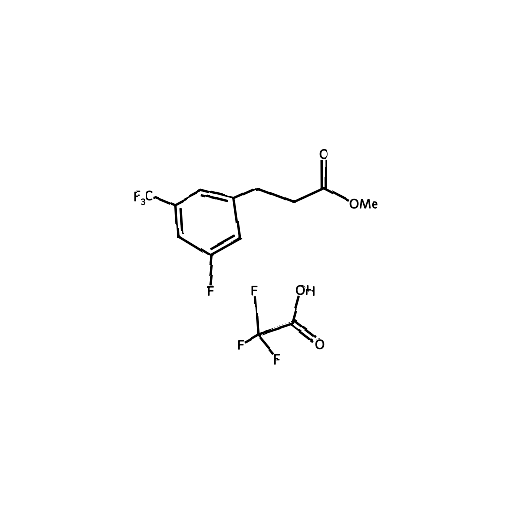 COC(=O)CCc1cc(F)cc(C(F)(F)F)c1.O=C(O)C(F)(F)F